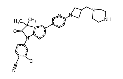 CC1(C)C(=O)N(c2ccc(C#N)c(Cl)c2)c2ccc(-c3ccc(N4CC(CN5CCNCC5)C4)nc3)cc21